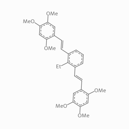 CCc1c(/C=C/c2cc(OC)c(OC)cc2OC)cccc1/C=C/c1cc(OC)c(OC)cc1OC